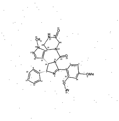 COc1ccc(C2=N[C@H](c3ccccc3)[C@H](c3cnn(C)c3)N2C(=O)N2CCNC(=O)C2)c(OC(C)C)c1